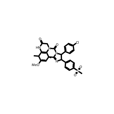 COC1=CC2(C)C3=NC(c4ccc(S(C)(=O)=O)cc4)C(c4ccc(Cl)cc4)N3C(=O)N3CC(=O)NC(=C32)C1C